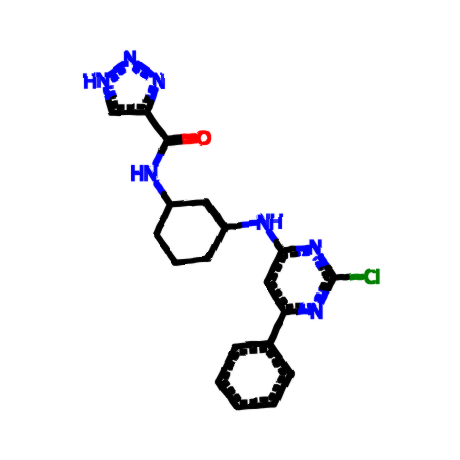 O=C(NC1CCCC(Nc2cc(-c3ccccc3)nc(Cl)n2)C1)c1c[nH]nn1